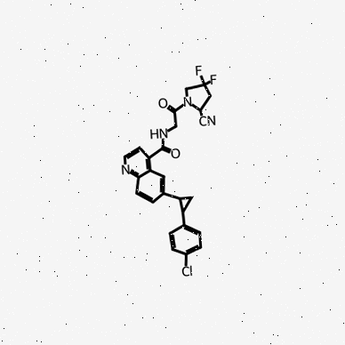 N#CC1CC(F)(F)CN1C(=O)CNC(=O)c1ccnc2ccc(C3CC3c3ccc(Cl)cc3)cc12